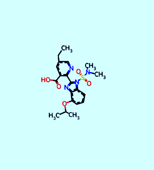 CCc1cnc(-c2nc3c(OC(C)C)cccc3n2S(=O)(=O)N(C)C)c(C(=O)O)c1